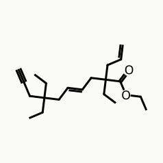 C#CCC(CC)(CC)C/C=C/CC(CC)(CC=C)C(=O)OCC